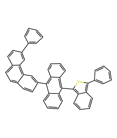 c1ccc(-c2ccc3ccc4ccc(-c5c6ccccc6c(-c6sc(-c7ccccc7)c7ccccc67)c6ccccc56)cc4c3c2)cc1